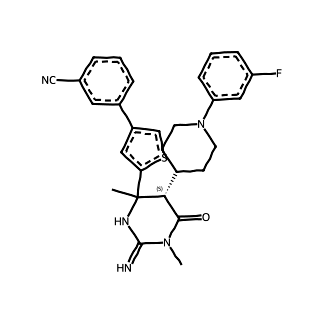 CN1C(=N)NC(C)(c2cc(-c3cccc(C#N)c3)cs2)[C@H](C2CCN(c3cccc(F)c3)CC2)C1=O